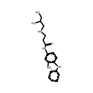 O=C(CCNCC(O)CO)Nc1ccc(Nc2ccccc2)c([N+](=O)[O-])c1